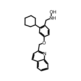 ONCc1ccc(OCc2ccc3ccccc3n2)cc1C1CCCCC1